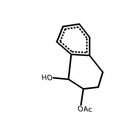 CC(=O)OC1CCc2ccccc2C1O